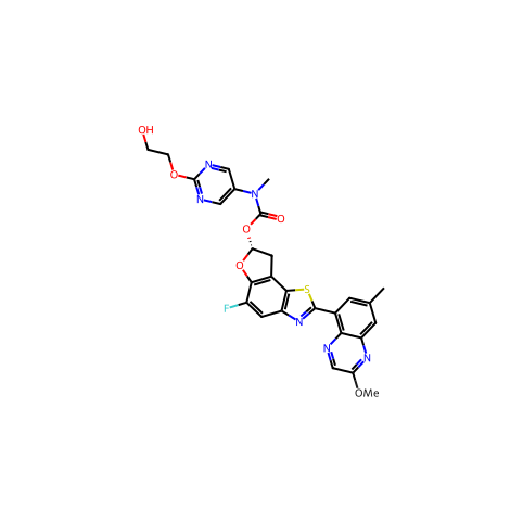 COc1cnc2c(-c3nc4cc(F)c5c(c4s3)C[C@@H](OC(=O)N(C)c3cnc(OCCO)nc3)O5)cc(C)cc2n1